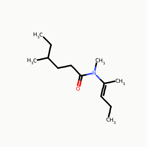 CC/C=C(\C)N(C)C(=O)CCC(C)CC